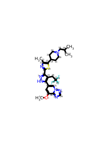 COc1cc(-c2[nH]nc(-c3nc(C)c(C4CCN(CC(C)C)CC4)s3)c2CC(F)(F)F)cn2ncnc12